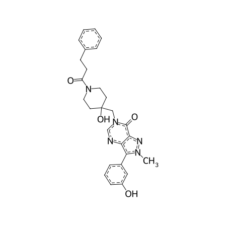 Cn1nc2c(=O)n(CC3(O)CCN(C(=O)CCc4ccccc4)CC3)cnc2c1-c1cccc(O)c1